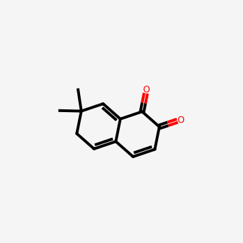 CC1(C)C=C2C(=O)C(=O)C=CC2=CC1